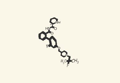 CC(C)(F)CN1CCC(COc2ccc(-c3ccccc3C(=O)NC(=O)[C@H]3CCCCN3)c(F)c2)CC1